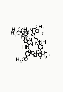 COc1ccc(CNc2ncnc3c2ccn3[C@@H]2C[C@H](CN(CC(C)C)C3CC(CCc4nc5cc(C(C)(C)C)ccc5[nH]4)C3)[C@H]3OC(C)(C)O[C@H]32)c(OC)c1